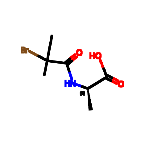 C[C@H](NC(=O)C(C)(C)Br)C(=O)O